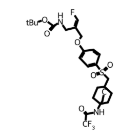 CC(C)(C)OC(=O)NC/C(=C\F)COc1ccc(S(=O)(=O)CC23CCC(NC(=O)C(F)(F)F)(CC2)CC3)cc1